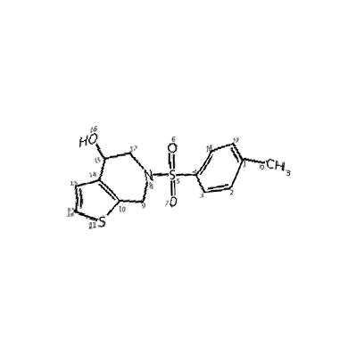 Cc1ccc(S(=O)(=O)N2Cc3sccc3C(O)C2)cc1